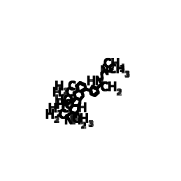 C=C(N)C1=C(C)C[C@@H]2CC3Cc4c(-c5cccc(C(=C)NCCN(CC)CC)c5)ccc(C)c4C(=C)C3=C(O)[C@]2(O)C1=C